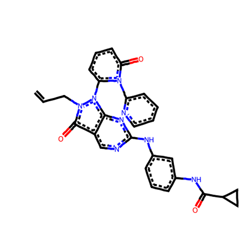 C=CCn1c(=O)c2cnc(Nc3cccc(NC(=O)C4CC4)c3)nc2n1-c1cccc(=O)n1-c1ccccn1